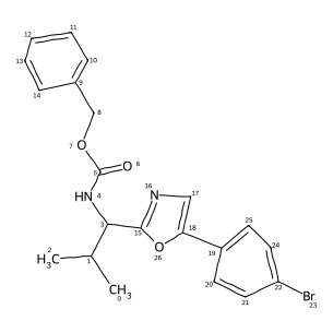 CC(C)C(NC(=O)OCc1ccccc1)c1ncc(-c2ccc(Br)cc2)o1